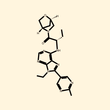 CC[C@H](Nc1ncnc2c1nc(-c1cnc(C)nc1)n2CC)C(=O)N1C[C@H]2C[C@H]1CO2